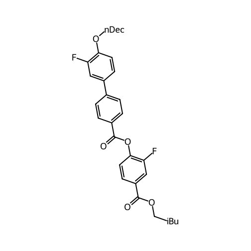 CCCCCCCCCCOc1ccc(-c2ccc(C(=O)Oc3ccc(C(=O)OCC(C)CC)cc3F)cc2)cc1F